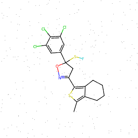 Cc1sc(C2=NOC(SF)(c3cc(Cl)c(Cl)c(Cl)c3)C2)c2c1CCCC2